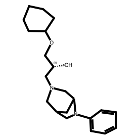 O[C@@H](COC1CCCCC1)CN1CC2CC(C1)N(c1ccccc1)C2